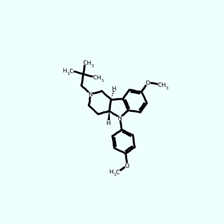 COc1ccc(N2c3ccc(OC)cc3[C@@H]3CN(CC(C)(C)C)CC[C@H]32)cc1